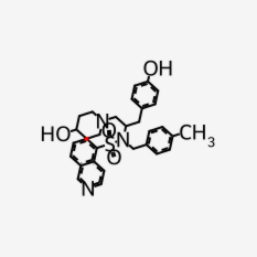 Cc1ccc(CN(C(Cc2ccc(O)cc2)CN2CCC(O)CC2)S(=O)(=O)c2cccc3cnccc23)cc1